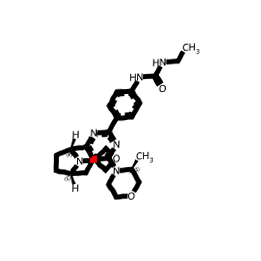 CCNC(=O)Nc1ccc(-c2nc3c(c(N4CCOC[C@@H]4C)n2)C[C@@H]2CC[C@H]3N2C2COC2)cc1